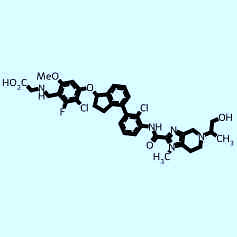 COc1cc(OC2CCc3c(-c4cccc(NC(=O)c5nc6c(n5C)CCN(C(C)CO)C6)c4Cl)cccc32)c(Cl)c(F)c1CNCC(=O)O